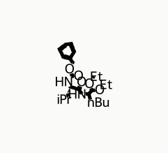 CCCCC(NC(=O)[C@H](CC(C)C)NC(=O)OCc1ccccc1)C(OCC)OCC